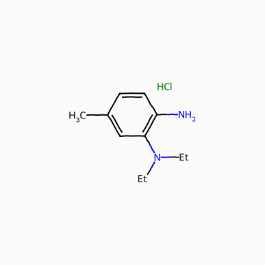 CCN(CC)c1cc(C)ccc1N.Cl